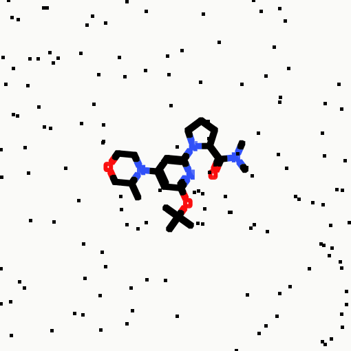 CC1COCCN1c1cc(OC(C)(C)C)nc(N2CCCC2C(=O)N(C)C)c1